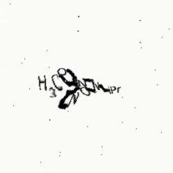 CC(C)CCN1CCN([C@@]2(C(=O)c3ccccn3)CCO[C@@H](C)C2)CC1